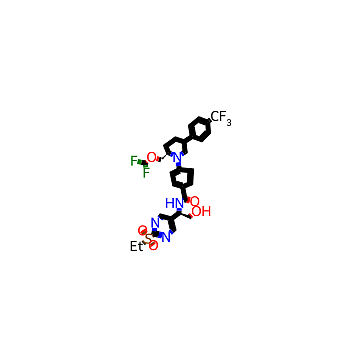 CCS(=O)(=O)c1ncc([C@H](CO)NC(=O)c2ccc(N3CC(c4ccc(C(F)(F)F)cc4)CC[C@H]3COC(F)F)cc2)cn1